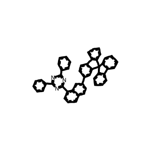 c1ccc(-c2nc(-c3ccccc3)nc(-c3cccc4ccc(-c5ccc6c(c5)C5(c7ccccc7-c7ccccc75)c5ccccc5-6)cc34)n2)cc1